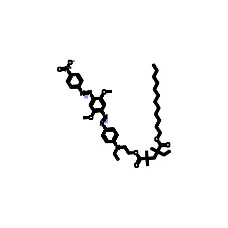 CCCCCCCCCCCCOC(=O)C(C)(CC)CC(C)(C)C(=O)OCCN(CC)c1ccc(/N=N/c2cc(OC)c(/N=N/c3ccc([N+](=O)[O-])cc3)cc2OC)cc1